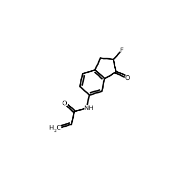 C=CC(=O)Nc1ccc2c(c1)C(=O)C(F)C2